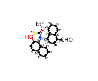 CCOC(=S)N(c1c(O)ccc2ccccc12)c1ccc(C=O)c2ccccc12